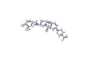 CC(=O)N1CCN(c2ccc3nc(C)n(CC(=O)NCc4ccc(Cl)c(Cl)c4)c(=O)c3c2)CC1